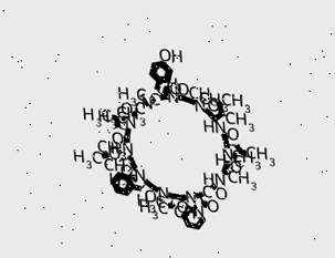 CC[C@H](C)[C@@H]1NC(=O)[C@H](CC(C)C)N(C)C(=O)[C@@H](C)NC(=O)C[C@@H](C(=O)N2CCCCC2)NC(=O)[C@H](C(C)C)N(C)C(=O)[C@H](Cc2ccccc2)N(C)C(=O)[C@H](COC(C)(C)C)NC(=O)[C@H](CC(C)C)N(C)C(=O)CN(C)C[C@](C=O)(Cc2ccc(O)cc2)NC(=O)[C@H](C)N(C)C1=O